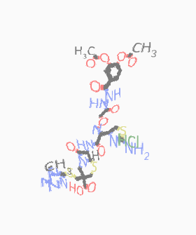 CC(=O)Oc1ccc(C(=O)NNC(=O)CON=C(C(=O)NC2C(=O)N3CC(CSc4nnnn4C)(C(=O)O)CS[C@H]23)c2csc(N)n2)cc1OC(C)=O.Cl